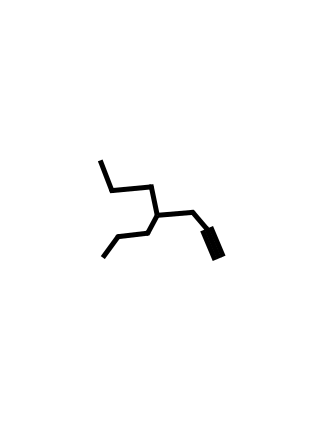 C#CCC(CCC)CCC